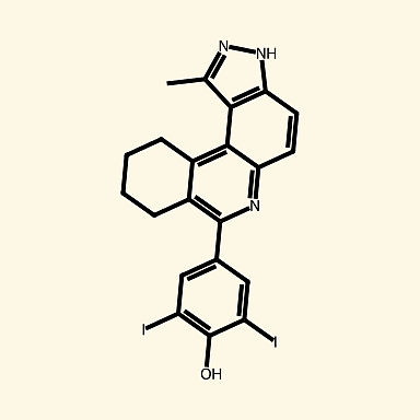 Cc1n[nH]c2ccc3nc(-c4cc(I)c(O)c(I)c4)c4c(c3c12)CCCC4